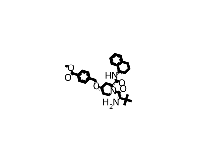 COC(=O)c1ccc(CO[C@@H]2CCN(C(=O)[C@@H](N)C(C)(C)C)[C@H](C(=O)N[C@@H]3CCCc4ccccc43)C2)cc1